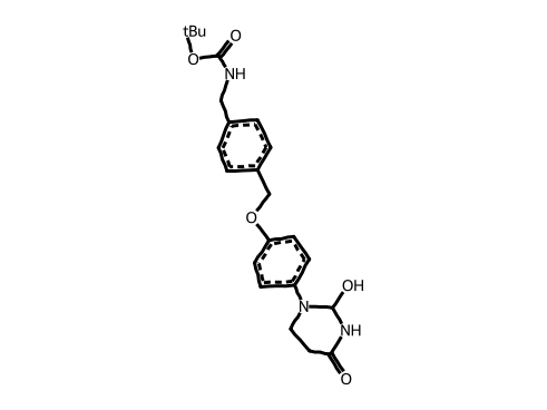 CC(C)(C)OC(=O)NCc1ccc(COc2ccc(N3CCC(=O)NC3O)cc2)cc1